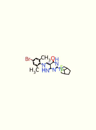 Cc1cc(Br)cc(C)c1N/C=C1\C(=N)N=C(N2CC3CCC(C2)C3(F)F)NC1=O